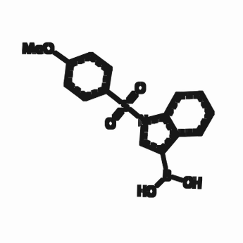 COc1ccc(S(=O)(=O)n2cc(B(O)O)c3ccccc32)cc1